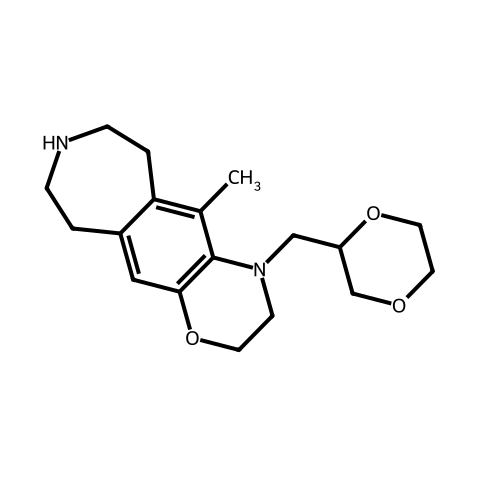 Cc1c2c(cc3c1N(CC1COCCO1)CCO3)CCNCC2